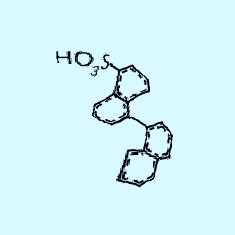 O=S(=O)(O)c1cccc2c(-c3cccc4ccccc34)cccc12